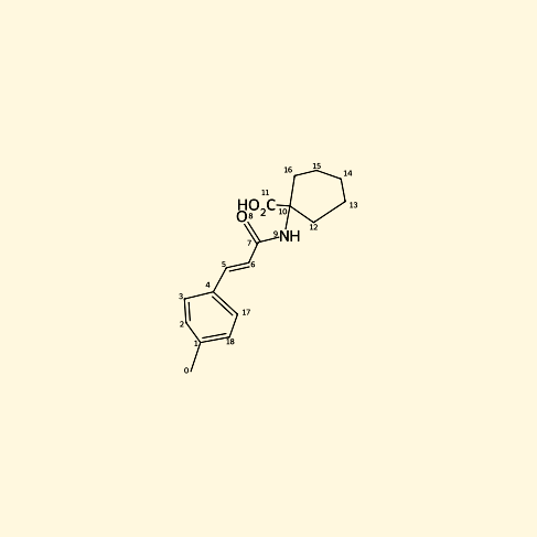 Cc1ccc(C=CC(=O)NC2(C(=O)O)CCCCC2)cc1